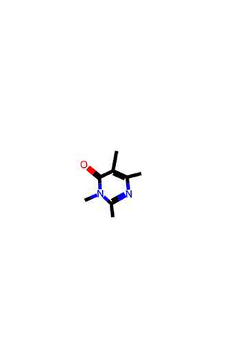 Cc1nc(C)n(C)c(=O)c1C